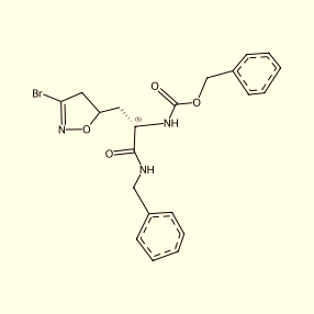 O=C(N[C@@H](CC1CC(Br)=NO1)C(=O)NCc1ccccc1)OCc1ccccc1